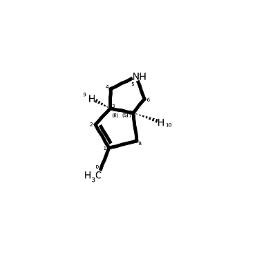 CC1=C[C@H]2CNC[C@H]2C1